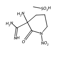 CS(=O)(=O)O.N=C(N)C1(N)CCCN([N+](=O)[O-])C1=O